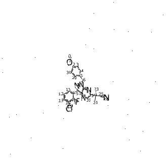 COc1ccc(Cn2nc(-c3cccc(Cl)c3F)c3ncc(C(C)(C)C#N)nc32)cc1